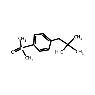 CC(C)(C)Cc1ccc(P(C)(C)=O)cc1